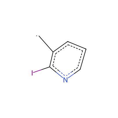 [CH2]c1cccnc1I